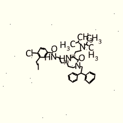 CC(C)N(CC[C@@H]1N[C@H](CCNC(=O)c2ccc(Cl)c(CI)c2)CCN(CC(c2ccccc2)c2ccccc2)C1=O)C(C)C